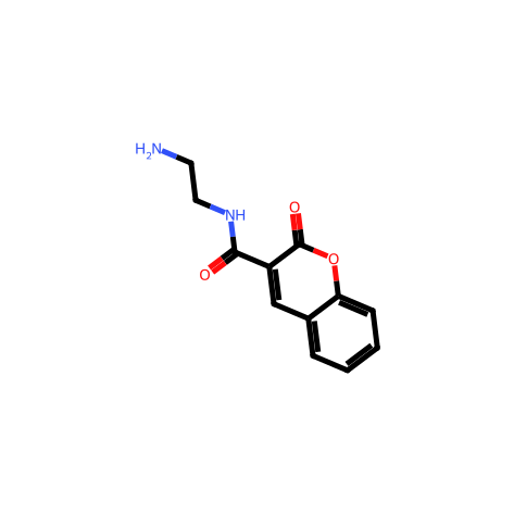 NCCNC(=O)c1cc2ccccc2oc1=O